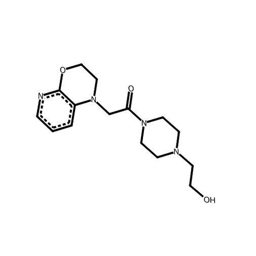 O=C(CN1CCOc2ncccc21)N1CCN(CCO)CC1